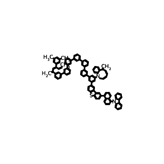 C=C(/C=C(\C=C/C)c1cc(C)cc(C)c1)c1cccc(-c2cccc(-c3cccc(-c4cccc(-c5cccc(-c6cccc(-c7cc(-c8ccc9sc%10ccc(-c%11cccc%12c(-n%13c%14ccccc%14c%14ccccc%14%13)cccc%11%12)cc%10c9c8)cc(N8C/C=C\C=C/C(=C)c9ccccc98)c7)c6)c5)c4)c3)c2)c1